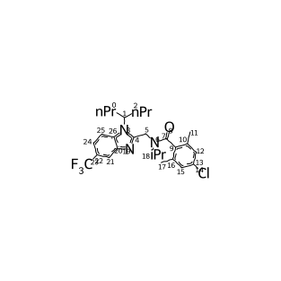 CCCC(CCC)n1c(CN(C(=O)c2c(C)cc(Cl)cc2C)C(C)C)nc2cc(C(F)(F)F)ccc21